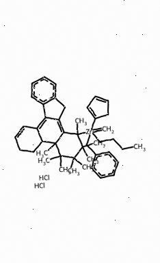 Cl.Cl.[CH2]=[Zr]([CH2]CCC)([CH2]c1ccccc1)([C]1=CC=CC1)[C]1(C)C2=C3Cc4ccccc4C3=C3C=CCCC3C2(C)C(C)(C)C(C)(C)C1(C)C